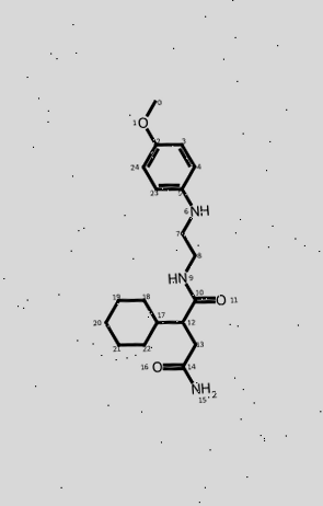 COc1ccc(NCCNC(=O)C(CC(N)=O)C2CCCCC2)cc1